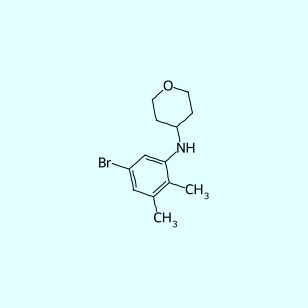 Cc1cc(Br)cc(NC2CCOCC2)c1C